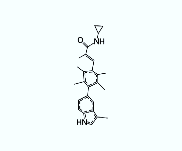 C/C(=C\c1c(C)c(C)c(-c2ccc3[nH]cc(C)c3c2)c(C)c1C)C(=O)NC1CC1